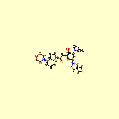 CN(C)c1cc(N2CCC3(CCC3)C2)nn(CC(=O)N2CCC3C(N4CCOCC4)=CC=CC32)c1=O